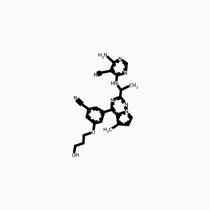 Cc1ccn2nc(C(C)Nc3ncnc(N)c3C#N)nc(-c3cc(C#N)cc(OCCCO)c3)c12